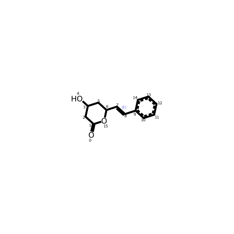 O=C1CC(O)CC(/C=C/c2ccccc2)O1